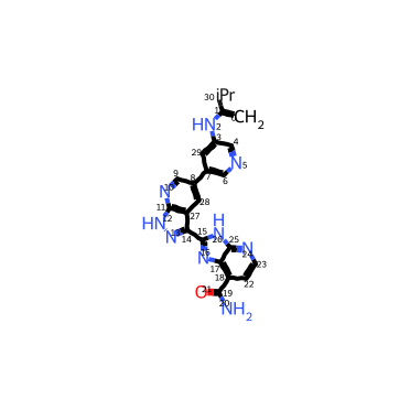 C=C(Nc1cncc(-c2cnc3[nH]nc(-c4nc5c(C(N)=O)ccnc5[nH]4)c3c2)c1)C(C)C